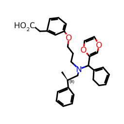 C[C@@H](CN(CCCOc1cccc(CC(=O)O)c1)C(C1=CC=CCC1)C1=COC=CO1)c1ccccc1